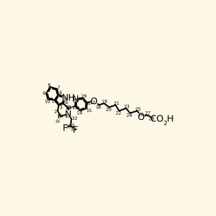 C[C@@H]1Cc2c([nH]c3ccccc23)[C@@H](c2ccc(OCCCCCCCCOCC(=O)O)cn2)N1CC(F)F